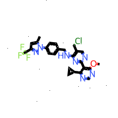 COc1ncnc(C2CC2)c1-c1ncc(CCl)c(NCc2ccc(-n3nc(C(F)(F)F)cc3C)cc2)n1